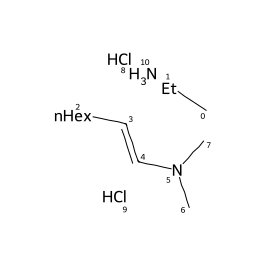 CCC.CCCCCCC=CN(C)C.Cl.Cl.N